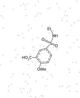 CCNS(=O)(=O)c1ccc(OC)c(C(=O)O)c1